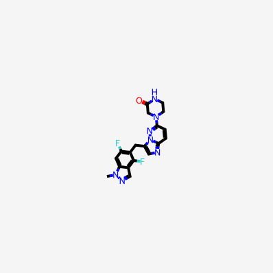 Cn1ncc2c(F)c(Cc3cnc4ccc(N5CCNC(=O)C5)nn34)c(F)cc21